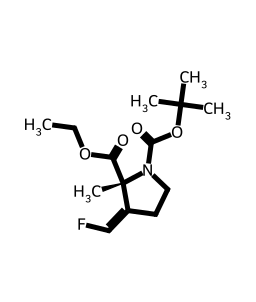 CCOC(=O)[C@@]1(C)C(=CF)CCN1C(=O)OC(C)(C)C